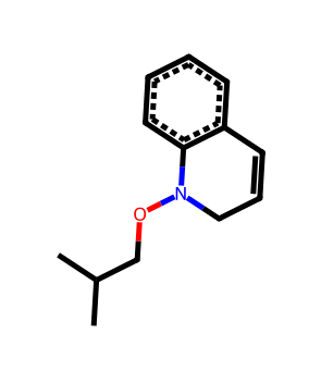 CC(C)CON1CC=Cc2ccccc21